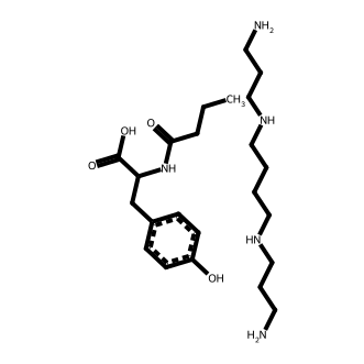 CCCC(=O)NC(Cc1ccc(O)cc1)C(=O)O.NCCCNCCCCNCCCN